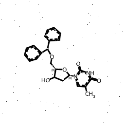 Cc1cn([C@H]2CC(O)[C@@H](COC(c3ccccc3)c3ccccc3)O2)c(=O)[nH]c1=O